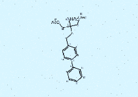 CC(=O)NC(CCc1ccc(-c2ccccc2)cc1)(COC(C)=O)COC(C)=O